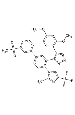 COc1ccc(-c2cnnn2-c2cc(-c3cccc(S(C)(=O)=O)c3)ccc2-n2cc(C(F)(F)F)nc2C)c(OC)c1